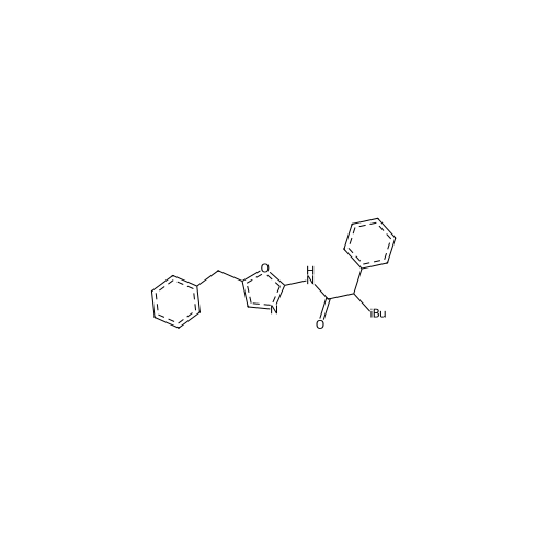 CCC(C)C(C(=O)Nc1ncc(Cc2ccccc2)o1)c1ccccc1